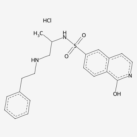 CC(CNCCc1ccccc1)NS(=O)(=O)c1ccc2c(O)nccc2c1.Cl